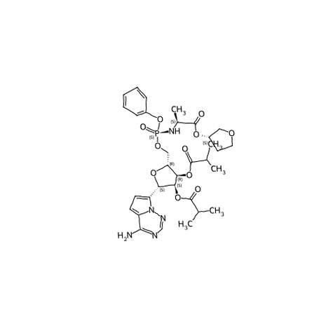 CC(C)C(=O)O[C@@H]1[C@H](OC(=O)C(C)C)[C@@H](CO[P@@](=O)(N[C@@H](C)C(=O)O[C@H]2CCOC2)Oc2ccccc2)O[C@H]1c1ccc2c(N)ncnn12